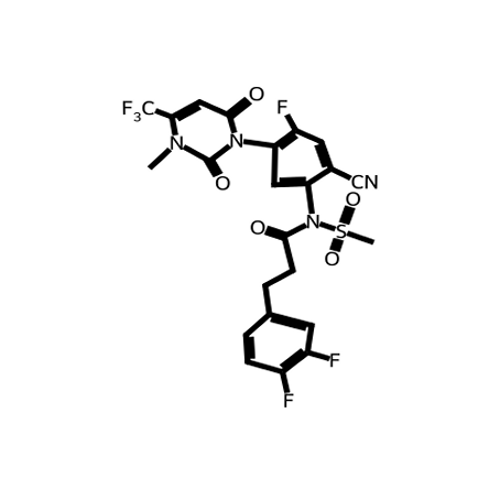 Cn1c(C(F)(F)F)cc(=O)n(-c2cc(N(C(=O)CCc3ccc(F)c(F)c3)S(C)(=O)=O)c(C#N)cc2F)c1=O